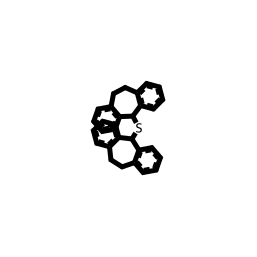 c1ccc2c(c1)CCc1ccccc1C2SC1c2ccccc2CCc2ccccc21